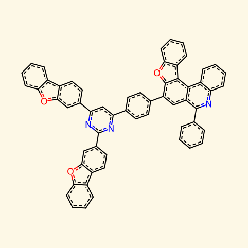 c1ccc(-c2nc3ccccc3c3c2cc(-c2ccc(-c4cc(-c5ccc6c(c5)oc5ccccc56)nc(-c5ccc6c(c5)oc5ccccc56)n4)cc2)c2oc4ccccc4c23)cc1